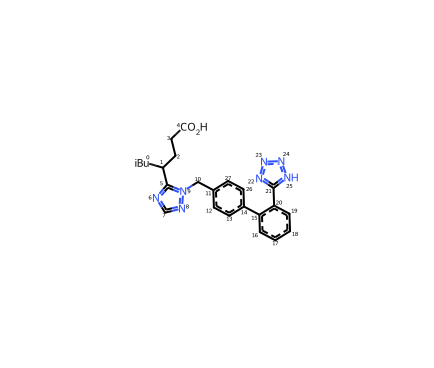 CCC(C)C(CCC(=O)O)c1ncnn1Cc1ccc(-c2ccccc2-c2nnn[nH]2)cc1